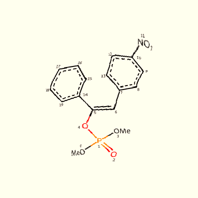 COP(=O)(OC)O/C(=C/c1ccc([N+](=O)[O-])cc1)c1ccccc1